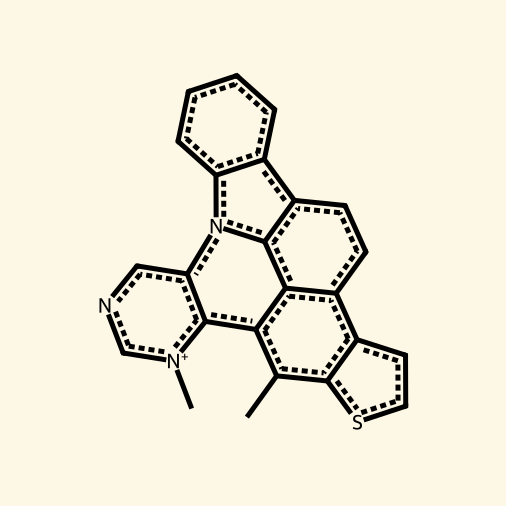 Cc1c2sccc2c2ccc3c4ccccc4n4c5cnc[n+](C)c5c1c2c34